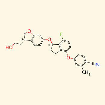 Cc1cc(Oc2ccc(F)c3c2CC[C@H]3Oc2ccc3c(c2)OC[C@H]3CCO)ccc1C#N